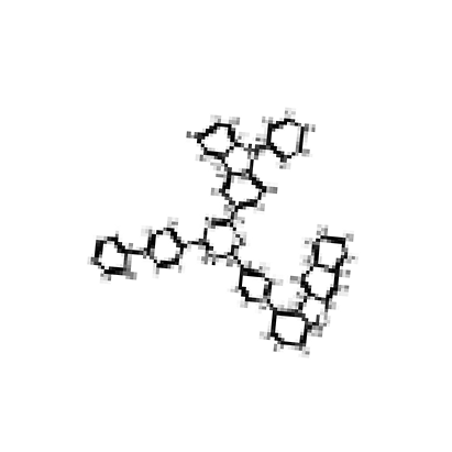 c1ccc(-c2ccc(-c3nc(-c4ccc(-c5cccc6oc7cc8ccccc8cc7c56)cc4)nc(-c4ccc5c(c4)c4ccccc4n5-c4ccccc4)n3)cc2)cc1